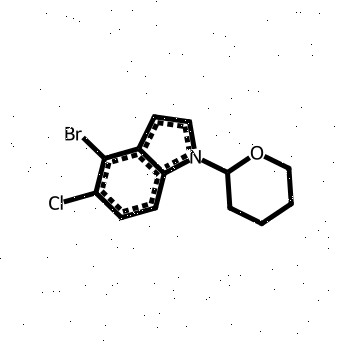 Clc1ccc2c(ccn2C2CCCCO2)c1Br